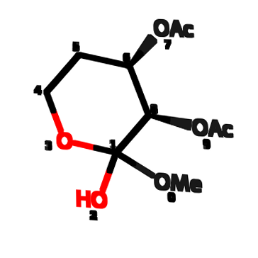 COC1(O)OCC[C@@H](OC(C)=O)[C@H]1OC(C)=O